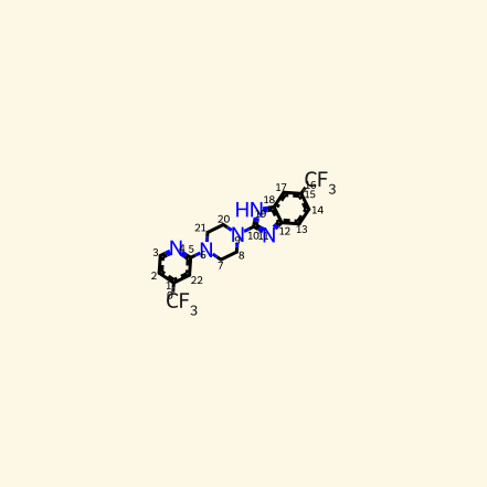 FC(F)(F)c1ccnc(N2CCN(c3nc4ccc(C(F)(F)F)cc4[nH]3)CC2)c1